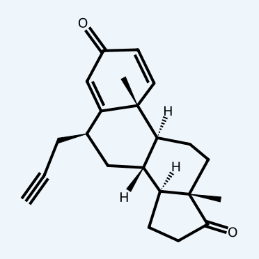 C#CC[C@@H]1C[C@@H]2[C@H](CC[C@]3(C)C(=O)CC[C@@H]23)[C@@]2(C)C=CC(=O)C=C12